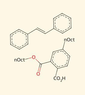 C(=C\c1ccccc1)/c1ccccc1.CCCCCCCCOC(=O)c1cc(CCCCCCCC)ccc1C(=O)O